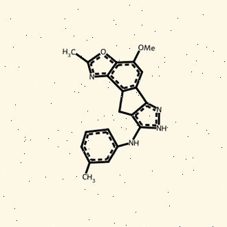 COc1cc2c(c3nc(C)oc13)Cc1c-2n[nH]c1Nc1cccc(C)c1